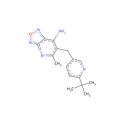 Cc1nc2nonc2c(N)c1Cc1ccc(C(C)(C)C)nc1